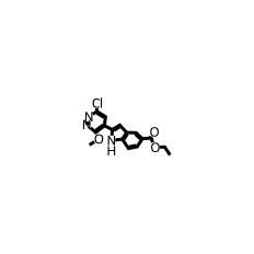 CCOC(=O)c1ccc2[nH]c(-c3cc(Cl)nnc3OC)cc2c1